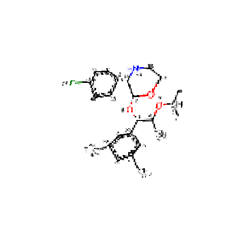 C[SiH](C)OC([C@@H](O[C@H]1OCCN[C@H]1c1ccc(F)cc1)c1cc(C(F)(F)F)cc(C(F)(F)F)c1)C(C)(C)C